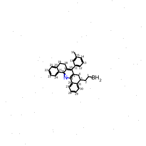 BCCC1Cc2c(nc3c(c2-c2cccc(C)c2)CCc2ccccc2-3)-c2ccccc21